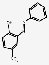 O=[N+]([O-])c1ccc(O)c(/N=N/c2ccccc2)c1